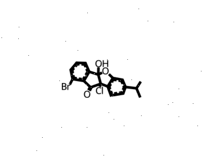 CC(C)c1ccc2c(c1)OC1(O)c3cccc(Br)c3C(=O)C21Cl